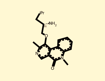 Cc1ncc2c(=O)n(C)c3ccccc3c2c1OC[C@@H](N)CC(C)C